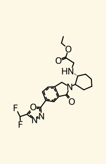 CCOC(=O)CN[C@@H]1CCCCC1N1Cc2ccc(-c3nnc(C(F)F)o3)cc2C1=O